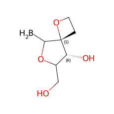 BC1OC(CO)[C@@H](O)[C@]12CCO2